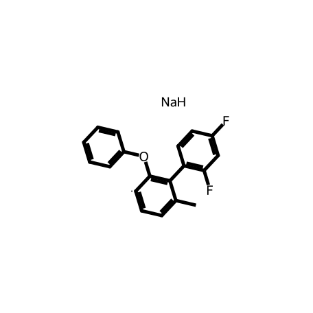 Cc1cc[c]c(Oc2ccccc2)c1-c1ccc(F)cc1F.[NaH]